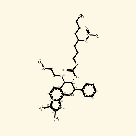 CCCCC(CCCOC(=O)O[C@@H]1[C@@H](c2ccccc2)Nc2c(ccn3c(C)c(C)nc23)[C@H]1OCCOC)O[N+](=O)[O-]